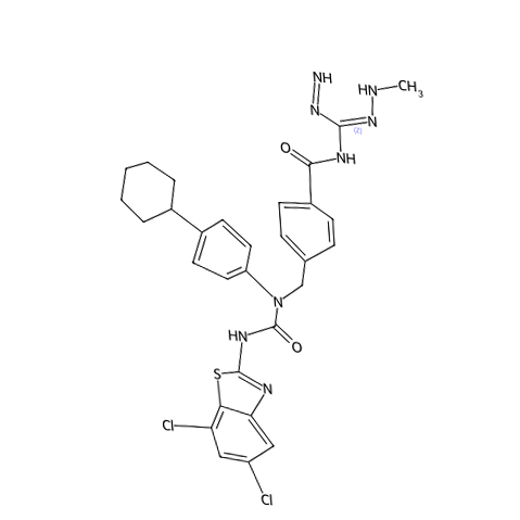 CN/N=C(\N=N)NC(=O)c1ccc(CN(C(=O)Nc2nc3cc(Cl)cc(Cl)c3s2)c2ccc(C3CCCCC3)cc2)cc1